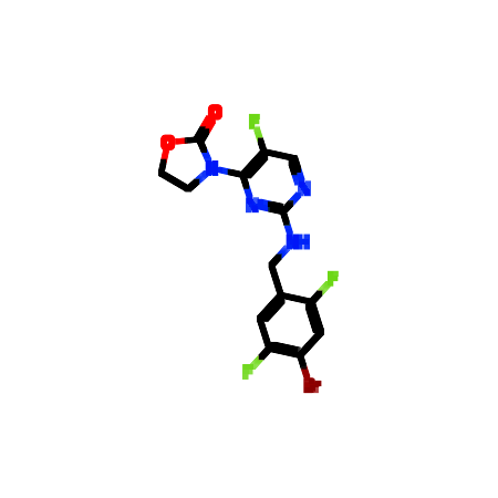 O=C1OCCN1c1nc(NCc2cc(F)c(Br)cc2F)ncc1F